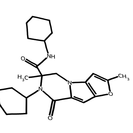 Cc1cc2c(cc3n2CC(C)(C(=O)NC2CCCCC2)N(C2CCCCC2)C3=O)o1